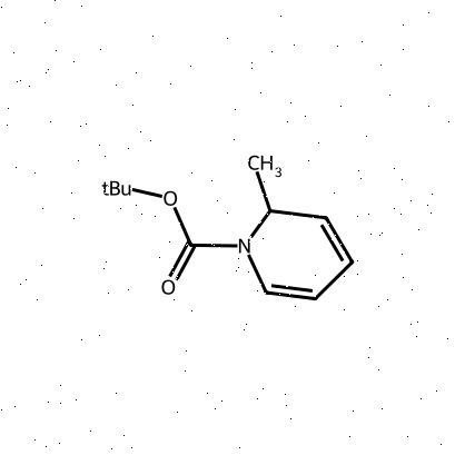 CC1C=CC=CN1C(=O)OC(C)(C)C